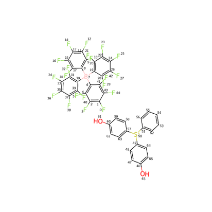 Fc1c(F)c(F)c([B-](c2c(F)c(F)c(F)c(F)c2F)(c2c(F)c(F)c(F)c(F)c2F)c2c(F)c(F)c(F)c(F)c2F)c(F)c1F.Oc1ccc([S+](c2ccccc2)c2ccc(O)cc2)cc1